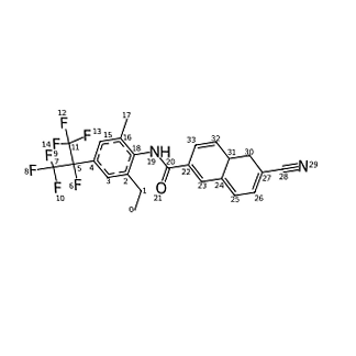 CCc1cc(C(F)(C(F)(F)F)C(F)(F)F)cc(C)c1NC(=O)C1=CC2=CC=C(C#N)CC2C=C1